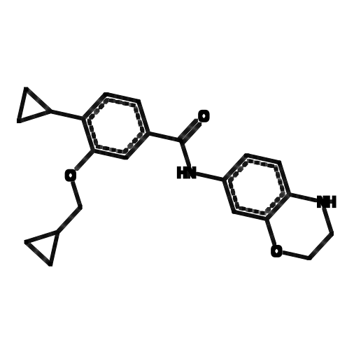 O=C(Nc1ccc2c(c1)OCCN2)c1ccc(C2CC2)c(OCC2CC2)c1